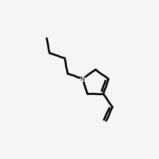 C=CC1=CCN(CCCC)C1